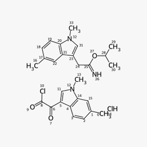 Cc1ccc2c(C(=O)C(=O)Cl)cn(C)c2c1.Cc1ccc2c(c1)c(CC(=N)OC(C)C)cn2C.Cl